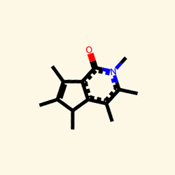 CC1=C(C)C(C)c2c(C)c(C)n(C)c(=O)c21